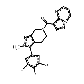 Cn1nc2c(c1-c1cc(F)c(F)c(F)c1)CCN(C(=O)c1cnn3cccnc13)C2